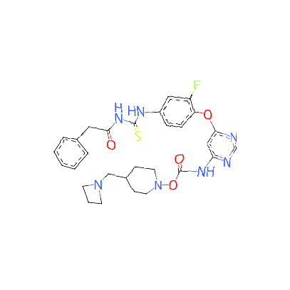 O=C(Cc1ccccc1)NC(=S)Nc1ccc(Oc2cc(NC(=O)ON3CCC(CN4CCC4)CC3)ncn2)c(F)c1